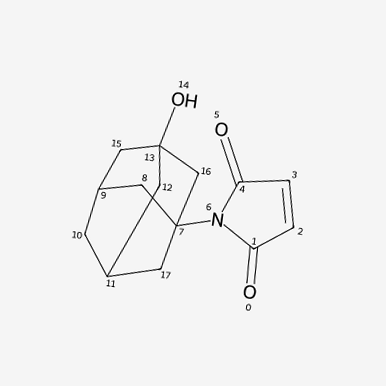 O=C1C=CC(=O)N1C12CC3CC(CC(O)(C3)C1)C2